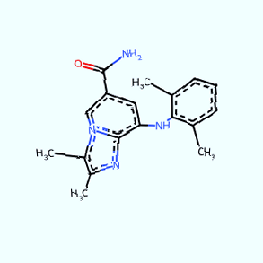 Cc1cccc(C)c1Nc1cc(C(N)=O)cn2c(C)c(C)nc12